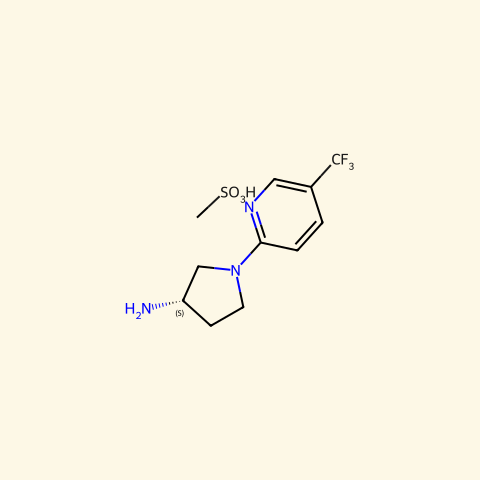 CS(=O)(=O)O.N[C@H]1CCN(c2ccc(C(F)(F)F)cn2)C1